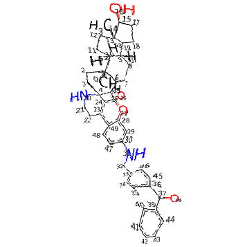 C[C@]12CC[C@]3(C[C@@H]1CC[C@@H]1[C@@H]2CC[C@]2(C)[C@@H](O)CC[C@@H]12)NCCc1c3c(=O)oc2cc(NCc3ccc(C(=O)c4ccccc4)cc3)ccc12